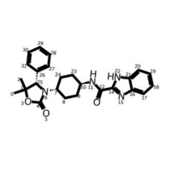 CC1(C)OC(=O)N([C@H]2CC[C@H](NC(=O)c3nc4ccccc4[nH]3)CC2)[C@H]1c1ccccc1